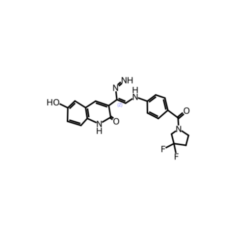 N=N/C(=C\Nc1ccc(C(=O)N2CCC(F)(F)C2)cc1)c1cc2cc(O)ccc2[nH]c1=O